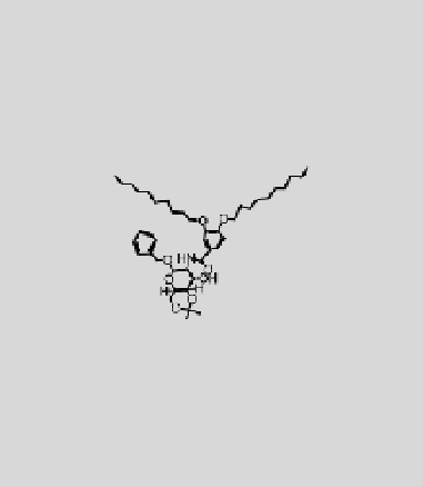 CCCCCCCCCCOc1ccc(C(=O)N[C@H]2[C@H](OCc3ccccc3)O[C@@H]3COC(C)(C)O[C@H]3[C@@H]2O)cc1OCCCCCCCCCC